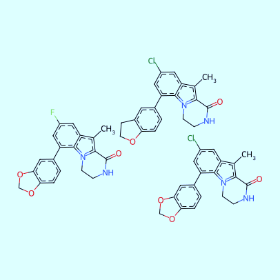 Cc1c2n(c3c(-c4ccc5c(c4)CCO5)cc(Cl)cc13)CCNC2=O.Cc1c2n(c3c(-c4ccc5c(c4)OCO5)cc(Cl)cc13)CCNC2=O.Cc1c2n(c3c(-c4ccc5c(c4)OCO5)cc(F)cc13)CCNC2=O